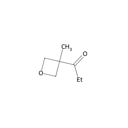 CCC(=O)C1(C)COC1